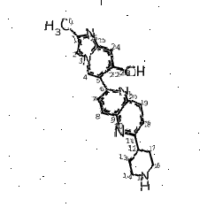 Cc1cn2cc(-c3ccc4nc(C5CCNCC5)ccc4n3)c(O)cc2n1